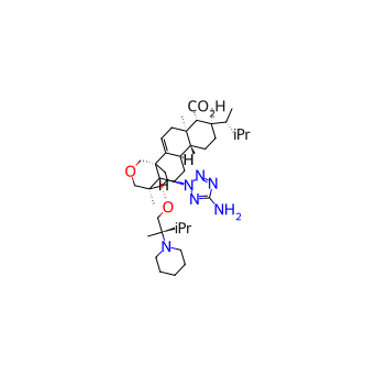 CC(C)[C@@H](C)[C@@]1(C)CC[C@]2(C)[C@H]3CC[C@@H]4[C@@]5(COC[C@]4(C)[C@@H](OC[C@](C)(C(C)C)N4CCCCC4)[C@H](n4nnc(N)n4)C5)C3=CC[C@@]2(C)[C@@H]1C(=O)O